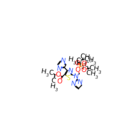 CC(C)OC(=O)c1sc(N(COP(=O)(OC(C)(C)C)OC(C)(C)C)c2ncccn2)nc1-c1cnccn1